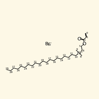 C=CC(=O)OCC[N+](C)(C)CCCCCCCCCCCCCCCCCCCC.[Br-]